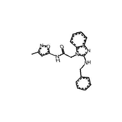 Cc1cc(NC(=O)Cn2c(NCc3ccccc3)nc3ccccc32)on1